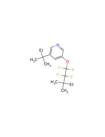 CCC(C)(C)c1cncc(OC(F)(F)C(F)(F)C(C)(C)CC)c1